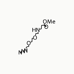 COC(=O)CCNCCOCCOCCN=[N+]=[N-]